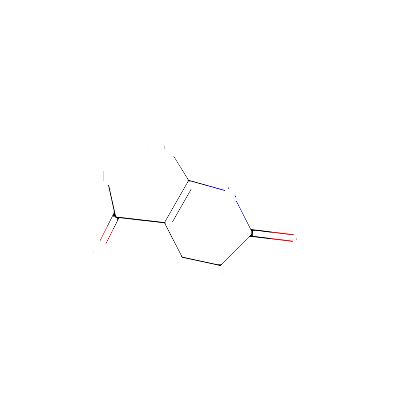 CCC(=O)C1=C(C(F)(F)F)NC(=O)CC1